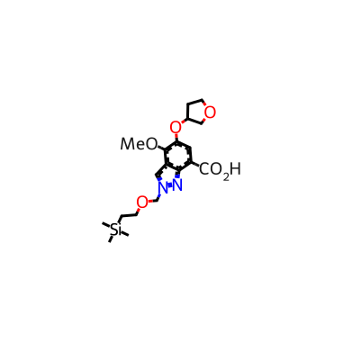 COc1c(OC2CCOC2)cc(C(=O)O)c2nn(COCC[Si](C)(C)C)cc12